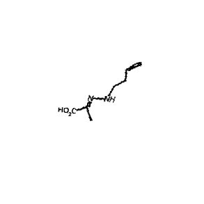 C=CCCNN=C(C)C(=O)O